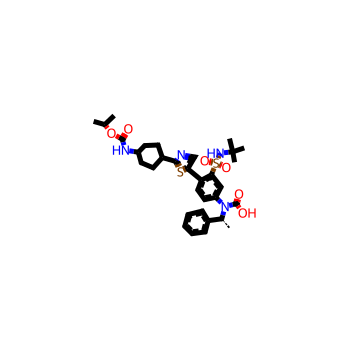 CC(C)OC(=O)NC1CCC(c2ncc(-c3ccc(N(C(=O)O)[C@H](C)c4ccccc4)cc3S(=O)(=O)NC(C)(C)C)s2)CC1